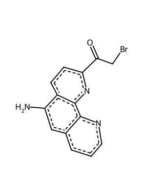 Nc1cc2cccnc2c2nc(C(=O)CBr)ccc12